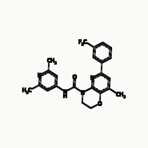 Cc1cc(NC(=O)N2CCOc3c(C)cc(-c4cccc(C(F)(F)F)c4)nc32)cc(C)n1